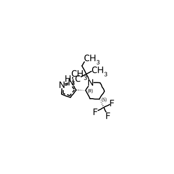 CCC(C)(C)N1CC[C@H](C(F)(F)F)C[C@@H]1c1ccnn1C